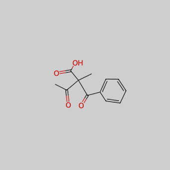 CC(=O)C(C)(C(=O)O)C(=O)c1ccccc1